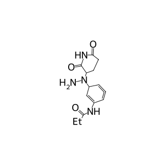 CCC(=O)NC1=CC(N(N)C2CCC(=O)NC2=O)C=C=C1